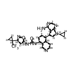 Nc1ncnc2c1c(-c1ccc(NC(=O)Nc3cc(C4(C(F)(F)F)CC4)no3)c3cnccc13)cn2C1CC1